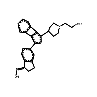 COCCN1CCC(c2oc(-c3ccc4c(c3)CCC4=NO)c3c2-c2ccncc2-3)CC1